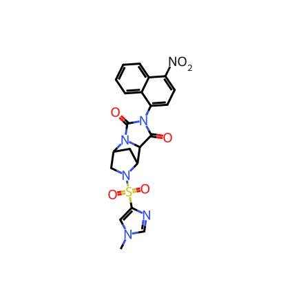 Cn1cnc(S(=O)(=O)N2CC3CC2C2C(=O)N(c4ccc([N+](=O)[O-])c5ccccc45)C(=O)N32)c1